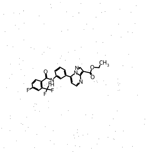 CCOC(=O)c1cnn2c(-c3cccc(NC(=O)c4ccc(F)cc4C(F)(F)F)c3)ccnc12